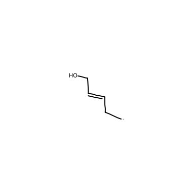 [CH2]CC=CCO